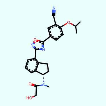 CC(C)Oc1ccc(-c2nc(-c3cccc4c3CC[C@@H]4N(C)C(=O)CO)no2)cc1C#N